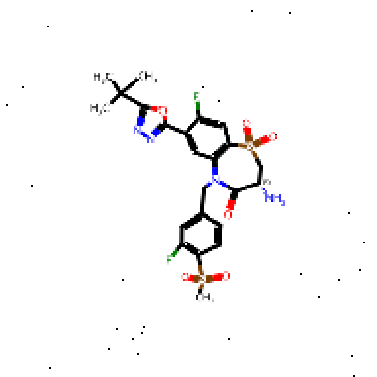 CC(C)(C)c1nnc(-c2cc3c(cc2F)S(=O)(=O)C[C@H](N)C(=O)N3Cc2ccc(S(C)(=O)=O)c(F)c2)o1